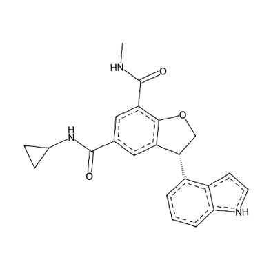 CNC(=O)c1cc(C(=O)NC2CC2)cc2c1OC[C@@H]2c1cccc2[nH]ccc12